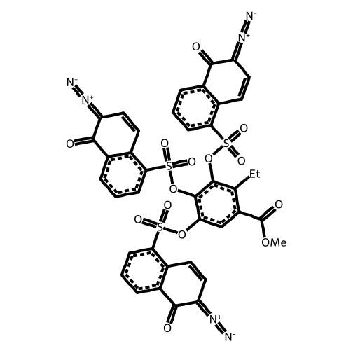 CCc1c(C(=O)OC)cc(OS(=O)(=O)c2cccc3c2C=CC(=[N+]=[N-])C3=O)c(OS(=O)(=O)c2cccc3c2C=CC(=[N+]=[N-])C3=O)c1OS(=O)(=O)c1cccc2c1C=CC(=[N+]=[N-])C2=O